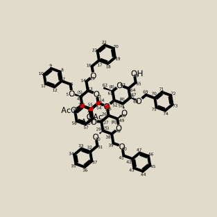 CC(=O)OC1C(OC(C)=O)[C@@H](OCc2ccccc2)C(COCc2ccccc2)O[C@@H]1OC1C(OC(C)=O)[C@@H](OCc2ccccc2)C(COCc2ccccc2)O[C@@H]1O[C@@H]1C(OCc2ccccc2)[C@@H](C)OC(CO)[C@H]1OCc1ccccc1